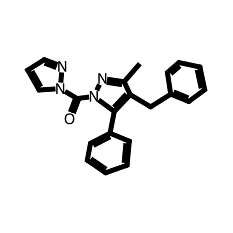 Cc1nn(C(=O)n2cccn2)c(-c2ccccc2)c1Cc1ccccc1